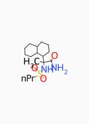 CCCS(=O)(=O)NC(C)(C(N)=O)C1CCCC2CCCCC21